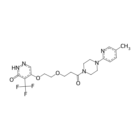 Cc1ccc(N2CCN(C(=O)CCOCCOc3cn[nH]c(=O)c3C(F)(F)F)CC2)nc1